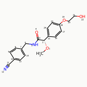 CO[C@H](C(=O)NCc1ccc(C#N)cc1)c1ccc(OCCO)cc1